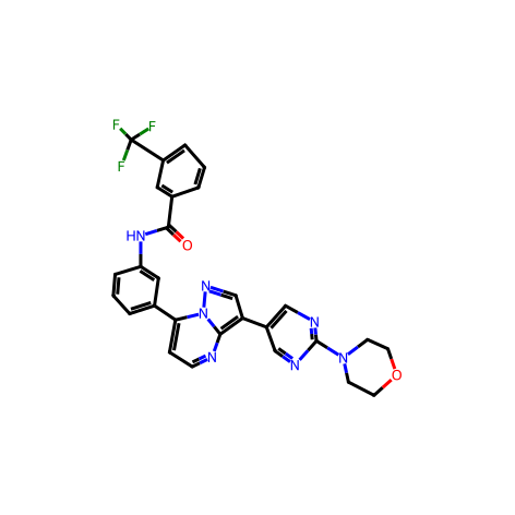 O=C(Nc1cccc(-c2ccnc3c(-c4cnc(N5CCOCC5)nc4)cnn23)c1)c1cccc(C(F)(F)F)c1